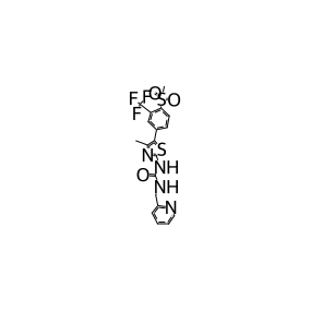 Cc1nc(NC(=O)NCc2ccccn2)sc1-c1ccc(S(C)(=O)=O)c(C(F)(F)F)c1